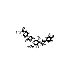 CO[C@@H]1[C@@H](n2cc(-c3cc(F)c(F)c(F)c3)nn2)[C@@H](O)[C@@H](CO)O[C@@H]1C[C@@H]1CN(C2CCN(C(=O)O)CC2)C(=O)O1